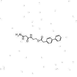 O=C(C[NH][AlH2])NCCOC(=O)Cc1ccc(-c2ccccc2)cc1